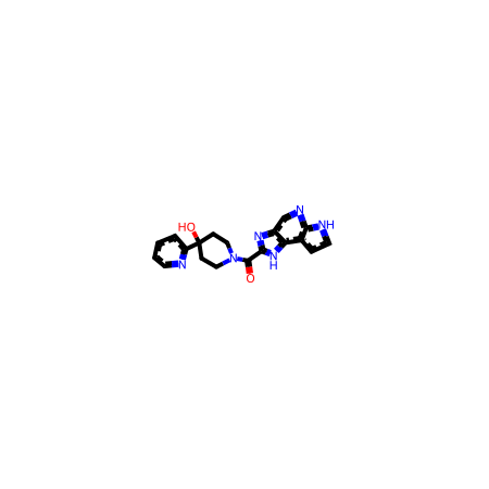 O=C(c1nc2cnc3[nH]ccc3c2[nH]1)N1CCC(O)(c2ccccn2)CC1